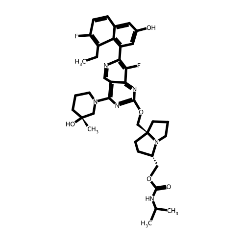 CCc1c(F)ccc2cc(O)cc(-c3ncc4c(N5CCC[C@@](C)(O)C5)nc(OC[C@@]56CCCN5[C@H](COC(=O)NC(C)C)CC6)nc4c3F)c12